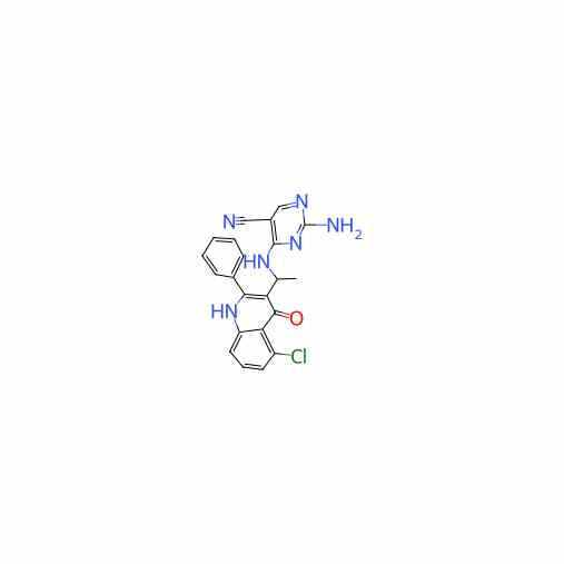 CC(Nc1nc(N)ncc1C#N)c1c(-c2ccccc2)[nH]c2cccc(Cl)c2c1=O